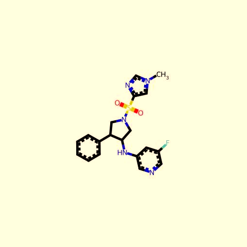 Cn1cnc(S(=O)(=O)N2CC(Nc3cncc(F)c3)C(c3ccccc3)C2)c1